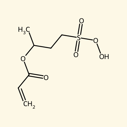 C=CC(=O)OC(C)CCS(=O)(=O)OO